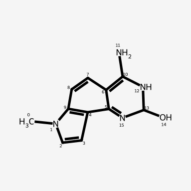 Cn1ccc2c3c(ccc21)=C(N)NC(O)N=3